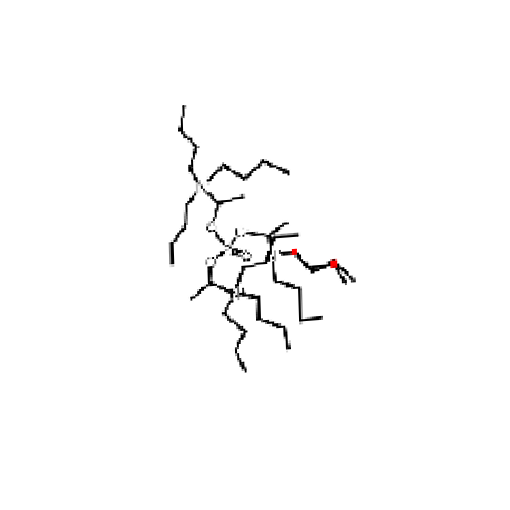 CCCC[N+](CCCC)(CCCC)C(C)OP(=O)(OC(C)[N+](CCCC)(CCCC)CCCC)OC(C)[N+](CCCC)(CCCC)CCCC